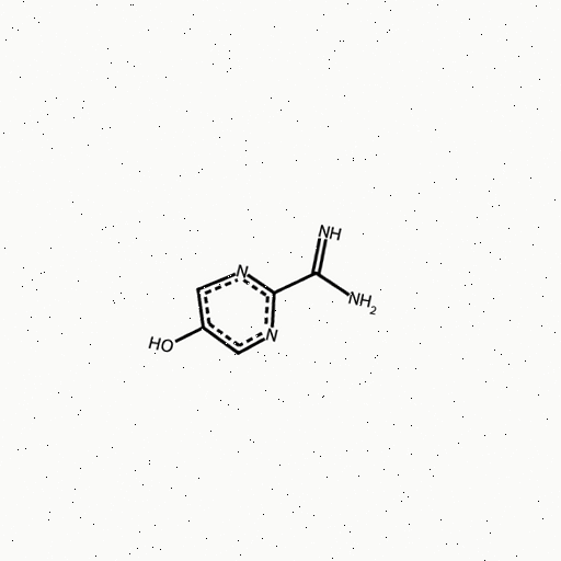 N=C(N)c1ncc(O)cn1